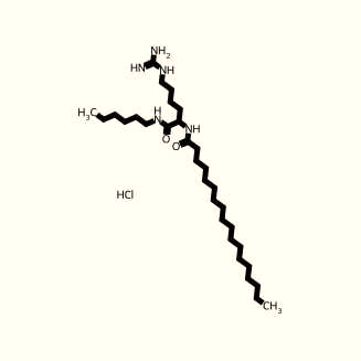 CCCCCCCCCCCCCCCCCC(=O)NC(CCCCNC(=N)N)C(=O)NCCCCCC.Cl